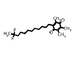 CC1=C(C)C(=O)C(CCCCCCCCCCC(C)(F)F)=C(C)C1=O